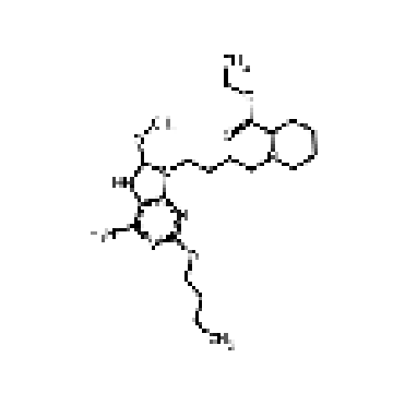 CCCCOc1nc(N)c2c(n1)N(CCCCN1CCCCC1C(=O)OCC)C(OC)N2